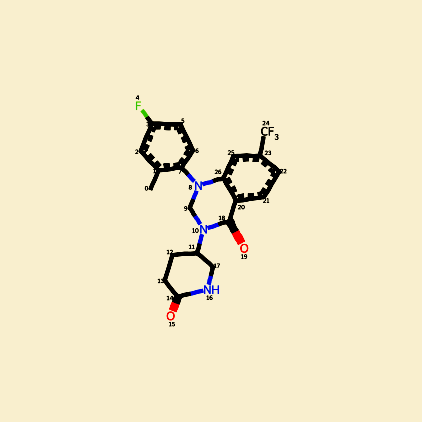 Cc1cc(F)ccc1N1CN(C2CCC(=O)NC2)C(=O)c2ccc(C(F)(F)F)cc21